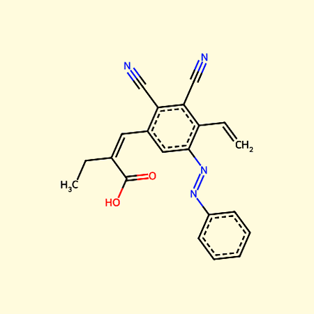 C=Cc1c(N=Nc2ccccc2)cc(C=C(CC)C(=O)O)c(C#N)c1C#N